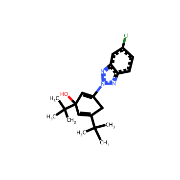 CC(C)(C)C1=CC(O)(C(C)(C)C)C=C(n2nc3ccc(Cl)cc3n2)C1